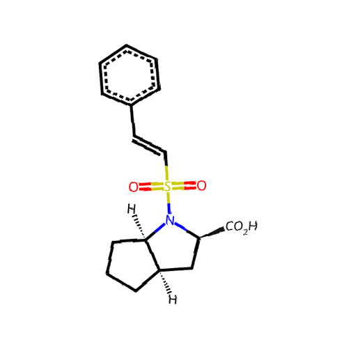 O=C(O)[C@H]1C[C@H]2CCC[C@H]2N1S(=O)(=O)/C=C/c1ccccc1